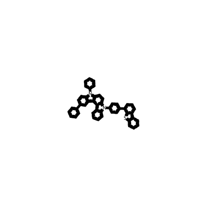 c1ccc(-c2ccc3c(c2)c2c4c5ccccc5n(-c5ccc(-c6cccc7c6sc6ccccc67)cc5)c4ccc2n3-c2ccccc2)cc1